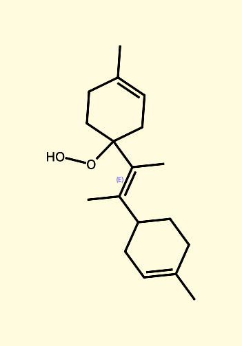 CC1=CCC(/C(C)=C(\C)C2(OO)CC=C(C)CC2)CC1